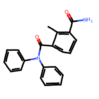 Cc1c(C(N)=O)cccc1C(=O)N(c1ccccc1)c1ccccc1